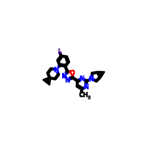 Cc1cc(-c2nnc(-c3ccc(I)cc3N3CCC4(CC3)CC4)o2)nc(N2CC3CC3C2)n1